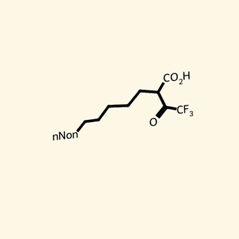 CCCCCCCCCCCCCCC(C(=O)O)C(=O)C(F)(F)F